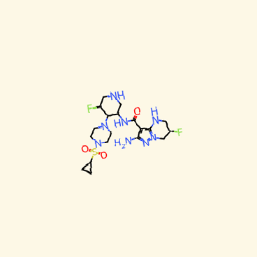 Nc1nn2c(c1C(=O)NC1CNCC(F)C1N1CCN(S(=O)(=O)C3CC3)CC1)NCC(F)C2